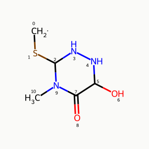 [CH2]SC1NNC(O)C(=O)N1C